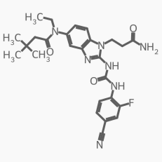 CCN(C(=O)CC(C)(C)C)c1ccc2c(c1)nc(NC(=O)Nc1ccc(C#N)cc1F)n2CCC(N)=O